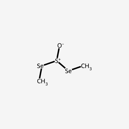 C[Se][S+]([O-])[Se]C